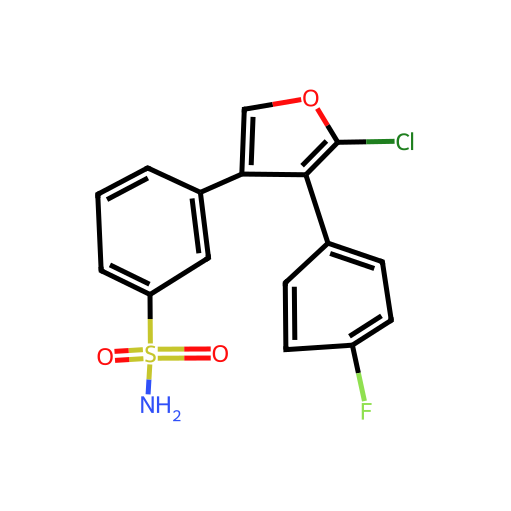 NS(=O)(=O)c1cccc(-c2coc(Cl)c2-c2ccc(F)cc2)c1